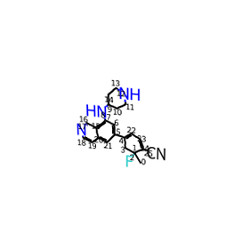 CC1(F)CC(c2cc(NC3CCNCC3)c3cnccc3c2)=CC=C1C#N